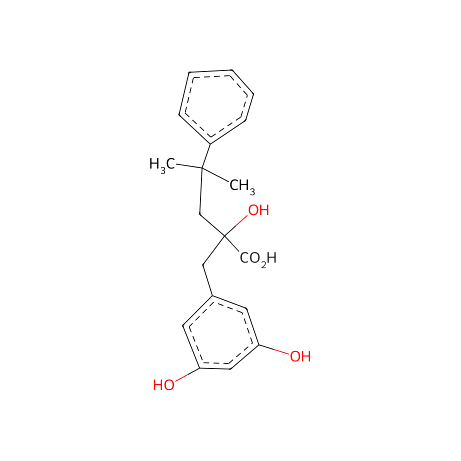 CC(C)(CC(O)(Cc1cc(O)cc(O)c1)C(=O)O)c1ccccc1